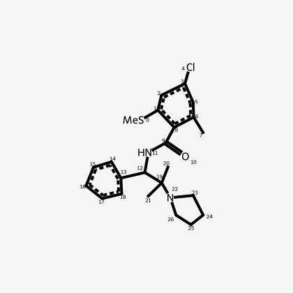 CSc1cc(Cl)cc(C)c1C(=O)NC(c1ccccc1)C(C)(C)N1CCCC1